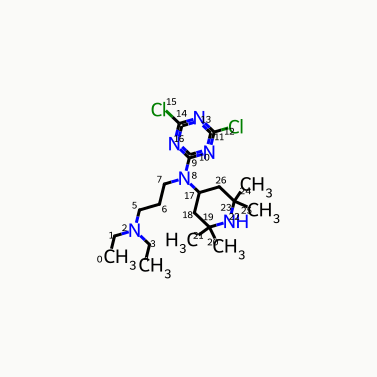 CCN(CC)CCCN(c1nc(Cl)nc(Cl)n1)C1CC(C)(C)NC(C)(C)C1